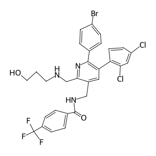 O=C(NCc1cc(-c2ccc(Cl)cc2Cl)c(-c2ccc(Br)cc2)nc1CNCCCO)c1ccc(C(F)(F)F)cc1